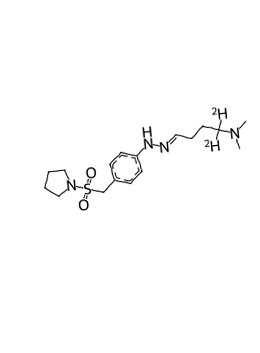 [2H]C([2H])(CC/C=N/Nc1ccc(CS(=O)(=O)N2CCCC2)cc1)N(C)C